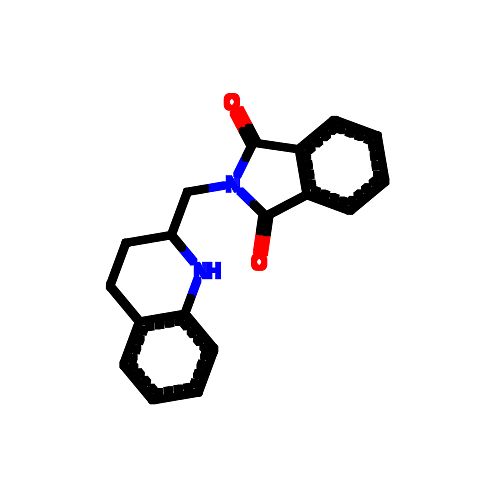 O=C1c2ccccc2C(=O)N1CC1CCc2ccccc2N1